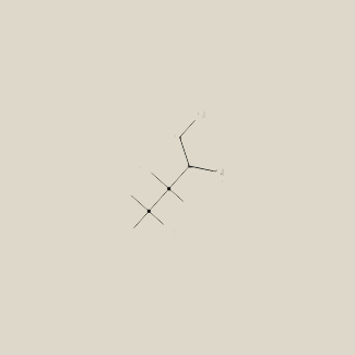 [2H]C([2H])([2H])C([2H])([2H])C(N)CN